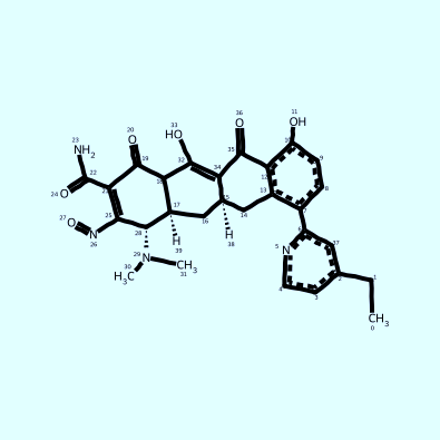 CCc1ccnc(-c2ccc(O)c3c2C[C@H]2C[C@@H]4C(C(=O)C(C(N)=O)=C(N=O)[C@H]4N(C)C)C(O)=C2C3=O)c1